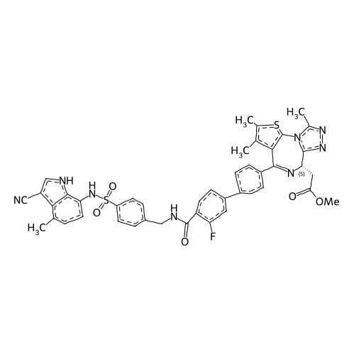 COC(=O)C[C@@H]1N=C(c2ccc(-c3ccc(C(=O)NCc4ccc(S(=O)(=O)Nc5ccc(C)c6c(C#N)c[nH]c56)cc4)c(F)c3)cc2)c2c(sc(C)c2C)-n2c(C)nnc21